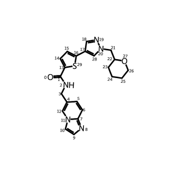 O=C(NCc1ccc2nccn2c1)c1ccc(-c2cnn(CC3CCCCO3)c2)s1